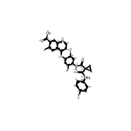 Cc1cc2c(Oc3cc(F)c(NC(=O)C4(C(=O)Nc5ccc(F)cc5)CC4)cc3F)ccnc2cc1C(=O)O